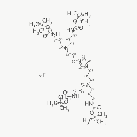 CC(C)(C)OC(=O)NCCCN(CCCNC(=O)OC(C)(C)C)CCCn1cc[n+](CCCN(CCCNC(=O)OC(C)(C)C)CCCNC(=O)OC(C)(C)C)c1.[I-]